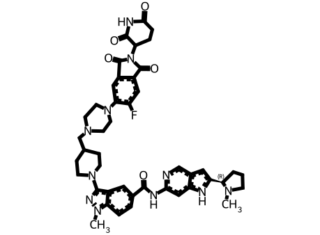 CN1CCC[C@@H]1c1cc2cnc(NC(=O)c3ccc4c(c3)c(N3CCC(CN5CCN(c6cc7c(cc6F)C(=O)N(C6CCC(=O)NC6=O)C7=O)CC5)CC3)nn4C)cc2[nH]1